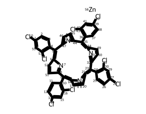 Clc1ccc(-c2c3nc(c(-c4ccc(Cl)cc4Cl)c4ccc([nH]4)c(-c4ccc(Cl)cc4Cl)c4nc(c(-c5ccc(Cl)cc5Cl)c5ccc2[nH]5)C=C4)C=C3)c(Cl)c1.[Zn]